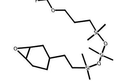 C[Si](C)(CCCOCF)O[Si](C)(C)O[Si](C)(C)CCC1CCC2OC2C1